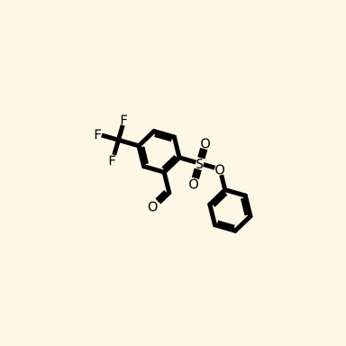 O=Cc1cc(C(F)(F)F)ccc1S(=O)(=O)Oc1ccccc1